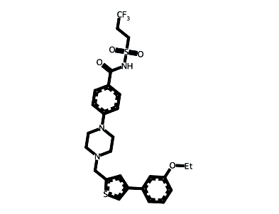 CCOc1cccc(-c2csc(CN3CCN(c4ccc(C(=O)NS(=O)(=O)CCC(F)(F)F)cc4)CC3)c2)c1